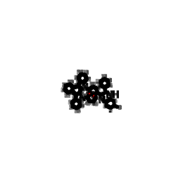 CC1C=CC2=C(C1)NC(c1ccccc1)C(c1ccc(-n3c4ccccc4c4c5ccccc5c5c6ccccc6n(-c6ccccc6)c5c43)cc1)=N2